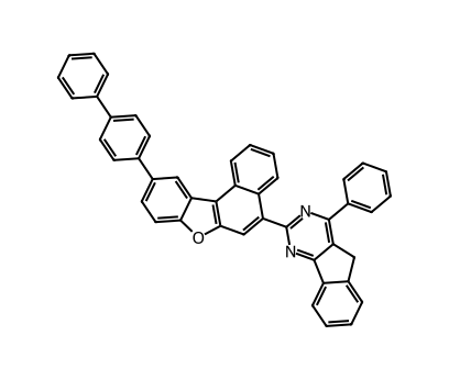 c1ccc(-c2ccc(-c3ccc4oc5cc(-c6nc(-c7ccccc7)c7c(n6)-c6ccccc6C7)c6ccccc6c5c4c3)cc2)cc1